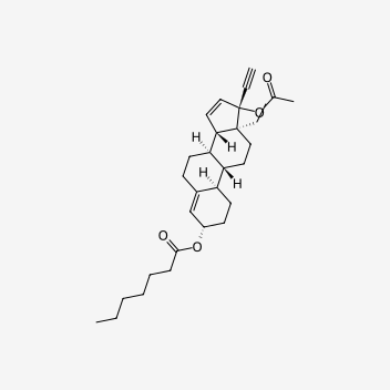 C#C[C@]1(OC(C)=O)C=C[C@H]2[C@@H]3CCC4=C[C@@H](OC(=O)CCCCCC)CC[C@@H]4[C@H]3CC[C@@]21CC